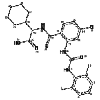 Cc1cccc(C)c1NC(=O)Nc1cc(Cl)ccc1C(=O)NC(C(=O)O)C1CCCCC1